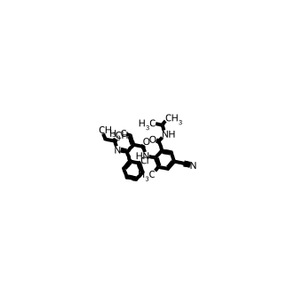 C=C(CC)/N=C(\C(=C/C)C(=O)Nc1c(C)cc(C#N)cc1C(=O)NC(C)C)c1ccccc1Cl